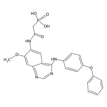 COc1cc2ncnc(Nc3ccc(Oc4ccccc4)cc3)c2cc1NC(=O)CP(=O)(O)O